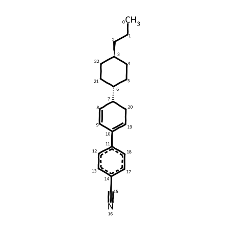 CCC[C@H]1CC[C@H](C2C=CC(c3ccc(C#N)cc3)=CC2)CC1